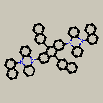 C1=CC2=C(CC1)N(c1ccc3c(-c4ccc5ccccc5c4)c4cc(N5c6ccccc6N(c6cccc7ccccc67)c6ccccc65)ccc4c(-c4ccc5ccccc5c4)c3c1)c1ccccc1N2c1cccc2ccccc12